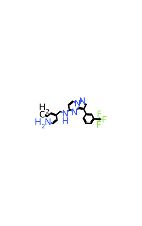 C=C/C=C(\C=C/N)CNc1ccn2ncc(-c3cccc(C(F)(F)F)c3)c2n1